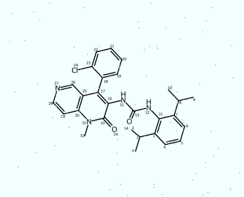 CC(C)c1cccc(C(C)C)c1NC(=O)Nc1c(-c2ccccc2Cl)c2cnccc2n(C)c1=O